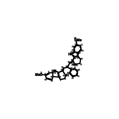 COC1=CC2NC3=C(CCN/C3=C\C(/C=C3\NCCc4c3[nH]c3cc(OC)ccc43)c3ccccc3)C2C=C1